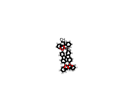 C=C/C=C\c1c(C)n(-c2ccc3c(c2)C2(c4cc(-n5c6ccccc6c6ccccc65)ccc4-3)c3cc(-n4c5ccccc5c5ccccc54)ccc3-c3ccc(-n4c5ccccc5c5ccccc54)cc32)c2ccccc12